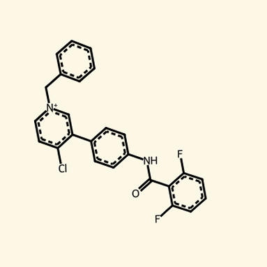 O=C(Nc1ccc(-c2c[n+](Cc3ccccc3)ccc2Cl)cc1)c1c(F)cccc1F